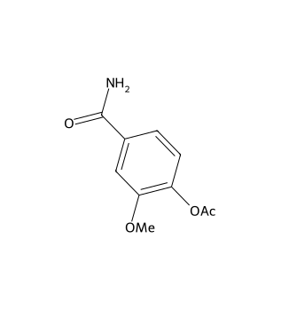 COc1cc(C(N)=O)ccc1OC(C)=O